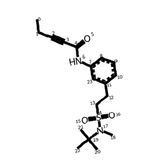 CCC#CC(=O)Nc1cccc(CCS(=O)(=O)N(C)C(C)(C)C)c1